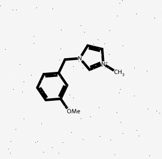 COc1cccc(Cn2cc[n+](C)c2)c1